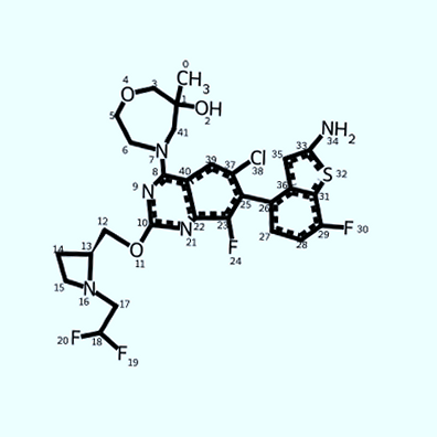 CC1(O)COCCN(c2nc(OC[C@@H]3CCN3CC(F)F)nc3c(F)c(-c4ccc(F)c5sc(N)cc45)c(Cl)cc23)C1